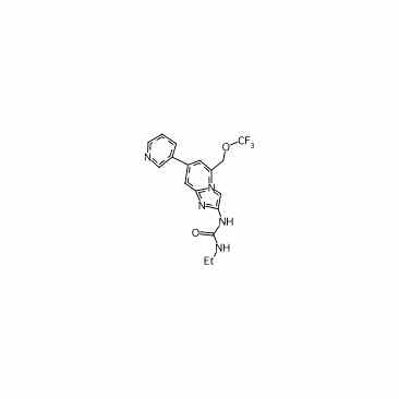 CCNC(=O)Nc1cn2c(COC(F)(F)F)cc(-c3cccnc3)cc2n1